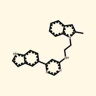 Cc1cc2ccccc2n1CCNc1cc(-c2ccc3[nH]ccc3c2)ncn1